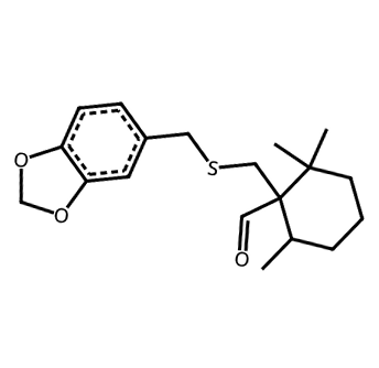 CC1CCCC(C)(C)C1(C=O)CSCc1ccc2c(c1)OCO2